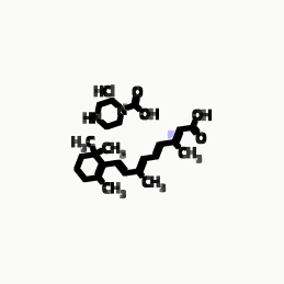 CC(C=CC1=C(C)CCCC1(C)C)=CC=C/C(C)=C/C(=O)O.Cl.O=C(O)N1CCNCC1